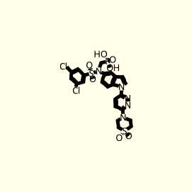 O=P(O)(O)CN(c1ccc2c(ccn2-c2ccc(N3CCS(=O)(=O)CC3)nn2)c1)S(=O)(=O)c1cc(Cl)cc(Cl)c1